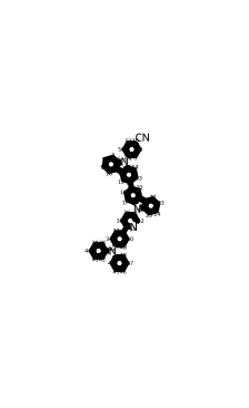 N#Cc1ccc(-n2c3ccccc3c3cc(-c4ccc5c(c4)c4ccccc4n5-c4ccc(-c5ccc(N(c6ccccc6)c6ccccc6)cc5)nc4)ccc32)cc1